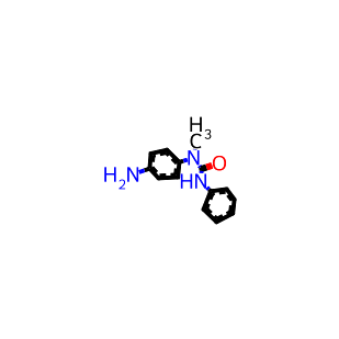 CN(C(=O)Nc1ccccc1)c1ccc(N)cc1